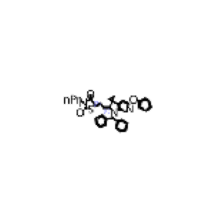 CCCN1C(=O)S/C(=C\C=C2\N(C(c3ccccc3)c3ccccc3)c3cnc(Oc4ccccc4)cc3C23CC3)C1=O